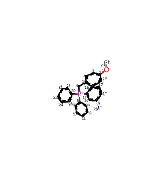 CCOc1ccc(C[P+](c2ccccc2)(c2ccccc2)c2ccccc2)cc1.[I-]